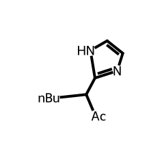 CCCCC(C(C)=O)c1ncc[nH]1